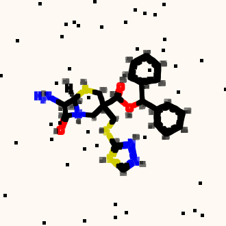 NC1C(=O)N2CC(CSc3nncs3)(C(=O)OC(c3ccccc3)c3ccccc3)CS[C@H]12